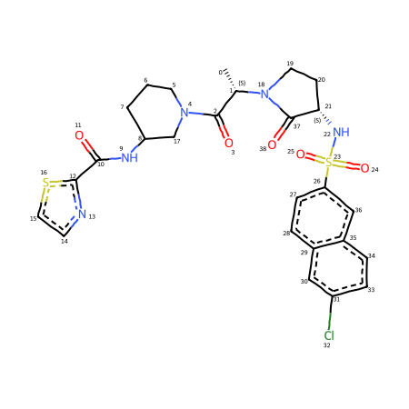 C[C@@H](C(=O)N1CCCC(NC(=O)c2nccs2)C1)N1CC[C@H](NS(=O)(=O)c2ccc3cc(Cl)ccc3c2)C1=O